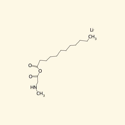 CCCCCCCCCCCC(=O)OC(=O)CNC.[Li]